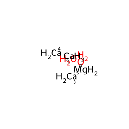 O.O.[CaH2].[CaH2].[CaH2].[MgH2]